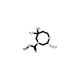 CC1(O)CCO[C@H](C(=O)O)CN(C(=O)OC(C)(C)C)C1